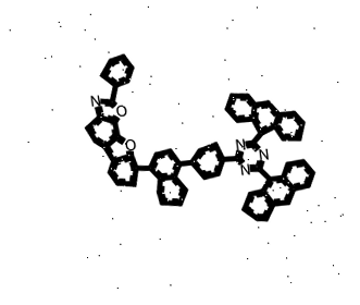 c1ccc(-c2nc3ccc4c5cccc(-c6ccc(-c7ccc(-c8nc(-c9c%10ccccc%10cc%10ccccc9%10)nc(-c9c%10ccccc%10cc%10ccccc9%10)n8)cc7)c7ccccc67)c5oc4c3o2)cc1